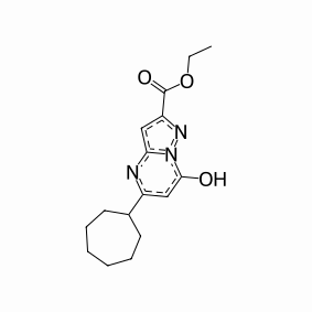 CCOC(=O)c1cc2nc(C3CCCCCC3)cc(O)n2n1